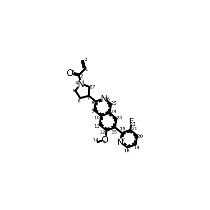 C=CC(=O)N1CCC(c2cc3cc(OC)c(-c4ncccc4F)cc3cn2)C1